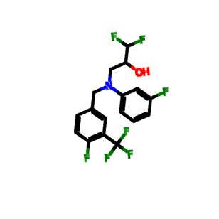 OC(CN(Cc1ccc(F)c(C(F)(F)F)c1)c1cccc(F)c1)C(F)F